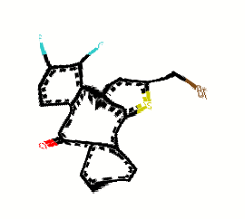 O=c1c2ccccc2c2sc(CBr)cc2c2c(F)c(F)ccc12